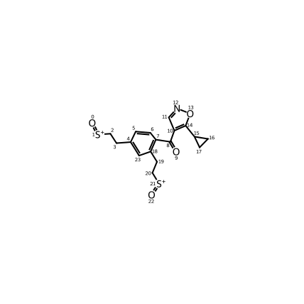 O=[S+]CCc1ccc(C(=O)c2cnoc2C2CC2)c(CC[S+]=O)c1